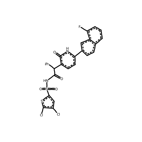 CC(C)C(C(=O)NS(=O)(=O)c1cc(Cl)c(Cl)s1)c1ccc(-c2ccc3cccc(F)c3c2)[nH]c1=O